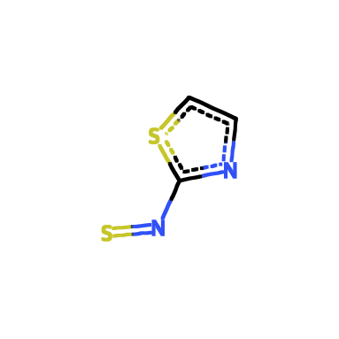 S=Nc1nccs1